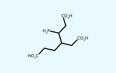 O=C(O)CCC(CC(=O)O)C(P)CC(=O)O